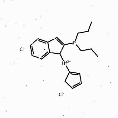 CCCP(CCC)C1=Cc2ccccc2[CH]1[Hf+2][C]1=CC=CC1.[Cl-].[Cl-]